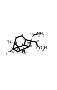 CC12[C@H]3C4CC[C@@H]1[C@@]2(F)CC3[C@]4(CN)CC(=O)O